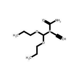 C#CN(C(N)=O)C(OCCC)OCCC